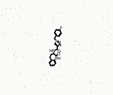 O=C(NC1CCc2ccccc2NC1=O)c1cn(Cc2ccc(F)cc2)nn1